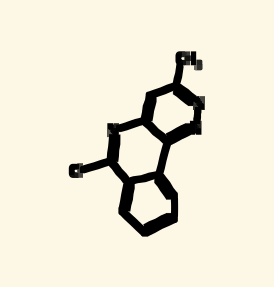 Cc1cc2nc(Cl)c3ccccc3c2nn1